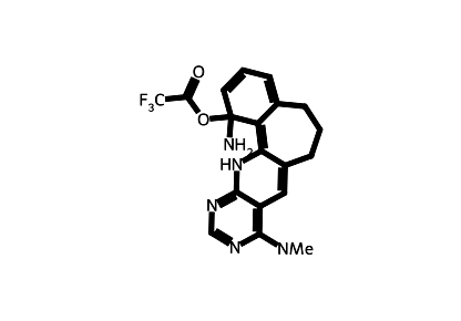 CNc1ncnc2c1C=C1CCCC3=CC=CC(N)(OC(=O)C(F)(F)F)C3=C1N2